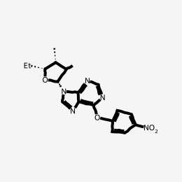 CC[C@H]1O[C@@H](n2cnc3c(Oc4ccc([N+](=O)[O-])cc4)ncnc32)C(C)[C@H]1C